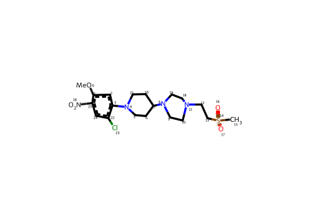 COc1cc(N2CCC(N3CCN(CCS(C)(=O)=O)CC3)CC2)c(Cl)cc1[N+](=O)[O-]